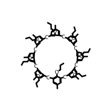 CCCOc1c2cc(C)cc1Cc1cc(C)cc(c1OCCC)Cc1cc(C)cc(c1OCCC)Cc1cc(C)cc(c1OCCC)Cc1cc(C)cc(c1OCCC)Cc1cc(C)cc(c1OCCC)Cc1cc(C)cc(c1OCCC)Cc1cc(C)cc(c1OCCC)C2